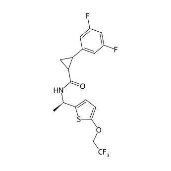 C[C@@H](NC(=O)C1CC1c1cc(F)cc(F)c1)c1ccc(OCC(F)(F)F)s1